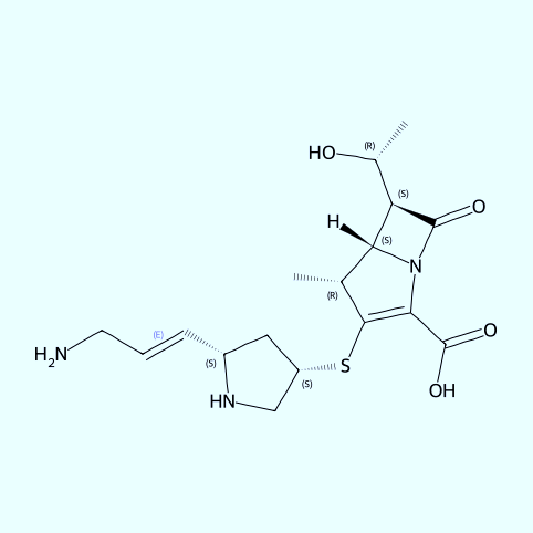 C[C@@H](O)[C@H]1C(=O)N2C(C(=O)O)=C(S[C@@H]3CN[C@H](/C=C/CN)C3)[C@H](C)[C@H]12